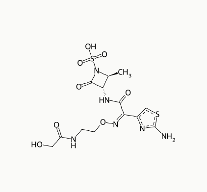 C[C@H]1[C@H](NC(=O)/C(=N\OCCNC(=O)CO)c2csc(N)n2)C(=O)N1S(=O)(=O)O